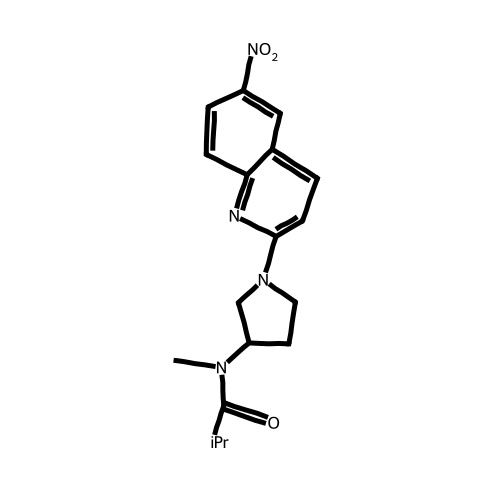 CC(C)C(=O)N(C)C1CCN(c2ccc3cc([N+](=O)[O-])ccc3n2)C1